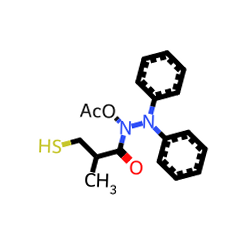 CC(=O)ON(C(=O)C(C)CS)N(c1ccccc1)c1ccccc1